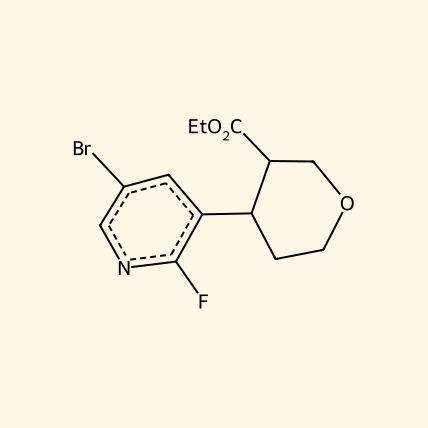 CCOC(=O)C1COCCC1c1cc(Br)cnc1F